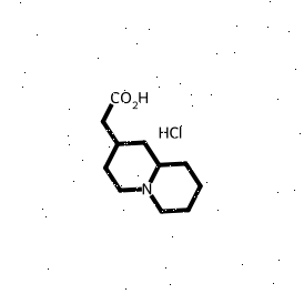 Cl.O=C(O)CC1CCN2CCCCC2C1